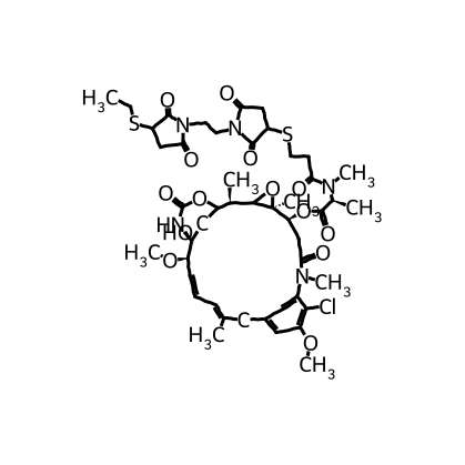 CCSC1CC(=O)N(CCN2C(=O)CC(SCCC(=O)N(C)[C@@H](C)C(=O)O[C@H]3CC(=O)N(C)c4cc(cc(OC)c4Cl)C/C(C)=C/C=C/[C@@H](OC)[C@@]4(O)CC(OC(=O)N4)[C@@H](C)C4O[C@]43C)C2=O)C1=O